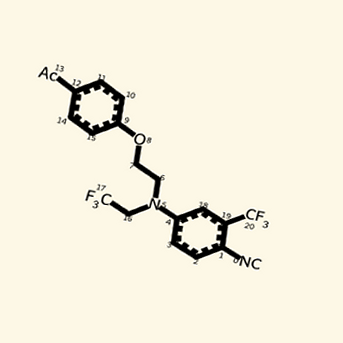 [C-]#[N+]c1ccc(N(CCOc2ccc(C(C)=O)cc2)CC(F)(F)F)cc1C(F)(F)F